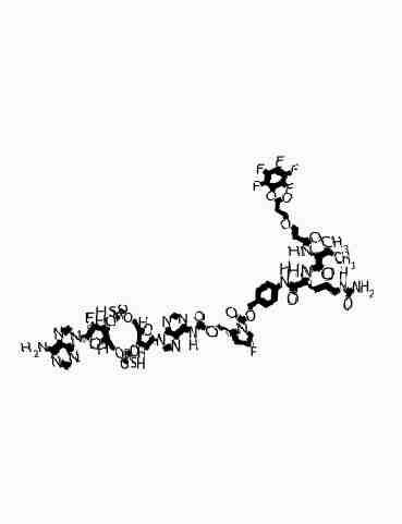 CC(C)[C@H](NC(=O)CCOCCC(=O)Oc1c(F)c(F)c(F)c(F)c1F)C(=O)N[C@@H](CCCNC(N)=O)C(=O)Nc1ccc(COC(=O)N2C[C@@H](F)C[C@H]2COC(=O)Nc2ncnc3c2ncn3[C@H]2C[C@@H]3O[P@](=O)(S)OC[C@H]4O[C@@H](n5cnc6c(N)ncnc65)[C@H](F)[C@@H]4O[P@@](=O)(S)OC[C@H]3O2)cc1